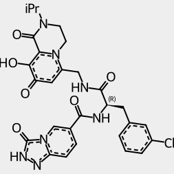 CC(C)N1CCn2c(CNC(=O)[C@@H](Cc3cccc(Cl)c3)NC(=O)c3ccc4n[nH]c(=O)n4c3)cc(=O)c(O)c2C1=O